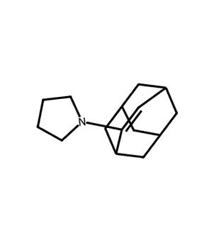 C1=C(N2CCCC2)C2CC3CC1CC(C3)C2